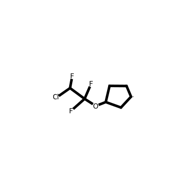 FC(Cl)C(F)(F)OC1C[CH]CC1